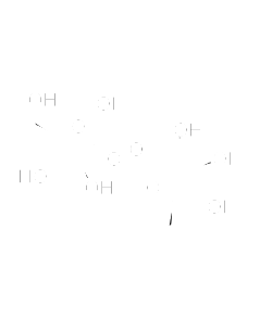 C[C@H]1O[C@H](OO[C@]2(CO)O[C@H](CO)[C@@H](O)[C@@H]2O)[C@H](O)[C@@H](O)[C@@H]1O